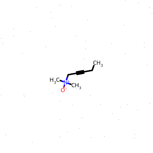 CCC#CC[N+](C)(C)[O-]